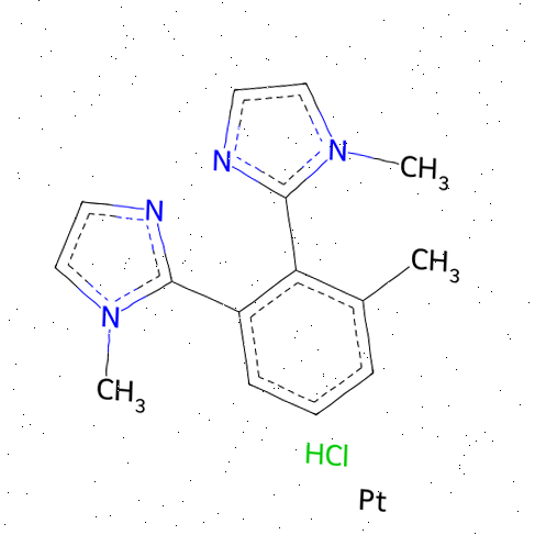 Cc1cccc(-c2nccn2C)c1-c1nccn1C.Cl.[Pt]